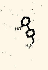 NCc1ccc(-c2ccccc2O)cc1